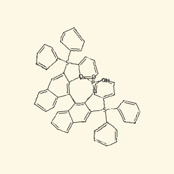 O=P1(O)Oc2c(S(c3ccccc3)(c3ccccc3)c3ccccc3)cc3ccccc3c2-c2c(c(S(c3ccccc3)(c3ccccc3)c3ccccc3)cc3ccccc23)O1